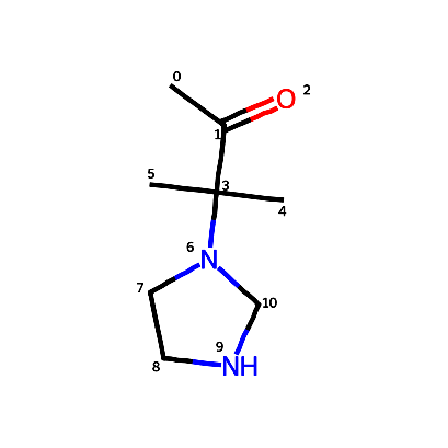 CC(=O)C(C)(C)N1CCNC1